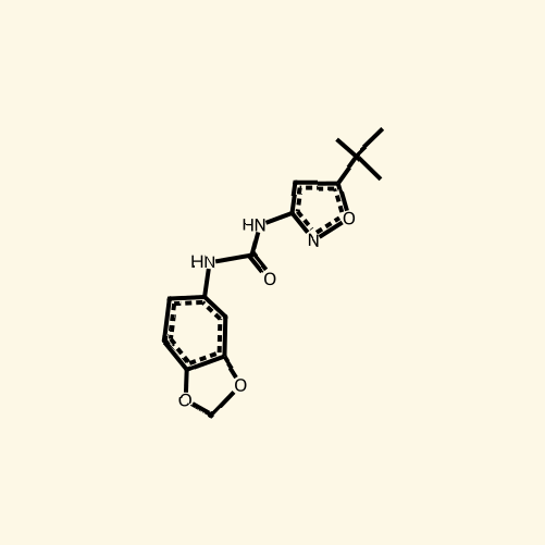 CC(C)(C)c1cc(NC(=O)Nc2ccc3c(c2)OCO3)no1